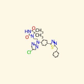 CC1(C)C(=O)NC(=O)N1CCN(c1ccc(-c2nnc(Cc3ccccc3)s2)cc1)c1ncc(Cl)cn1